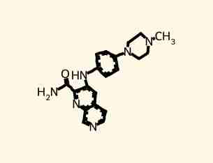 CN1CCN(c2ccc(Nc3cc4ccncc4nc3C(N)=O)cc2)CC1